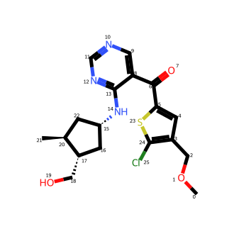 COCc1cc(C(=O)c2cncnc2N[C@@H]2C[C@H](CO)[C@@H](C)C2)sc1Cl